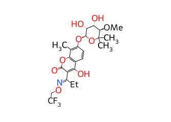 CC/C(=N\OCC(F)(F)F)c1c(O)c2ccc(O[C@@H]3OC(C)(C)[C@H](OC)[C@@H](O)[C@H]3O)c(C)c2oc1=O